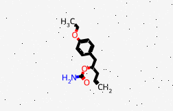 C=CCC(Cc1ccc(OCC)cc1)OC(N)=O